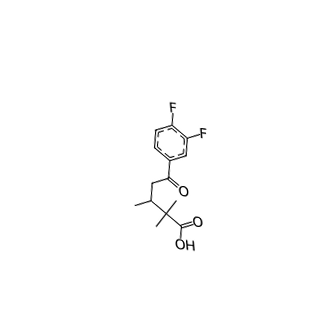 CC(CC(=O)c1ccc(F)c(F)c1)C(C)(C)C(=O)O